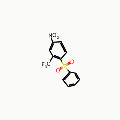 O=[N+]([O-])c1ccc(S(=O)(=O)c2ccccc2)c(C(F)(F)F)c1